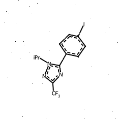 CC(C)n1nc(C(F)(F)F)nc1-c1ccc(I)cc1